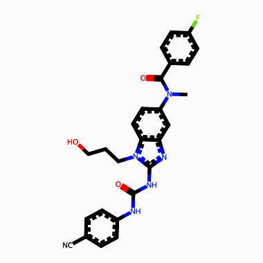 CN(C(=O)c1ccc(F)cc1)c1ccc2c(c1)nc(NC(=O)Nc1ccc(C#N)cc1)n2CCCO